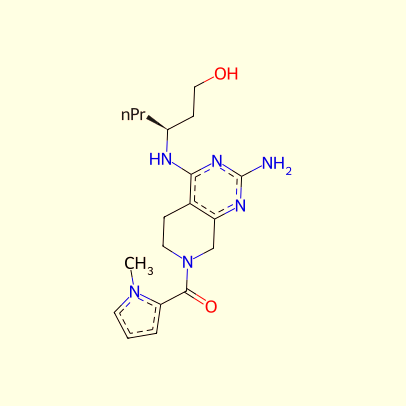 CCC[C@@H](CCO)Nc1nc(N)nc2c1CCN(C(=O)c1cccn1C)C2